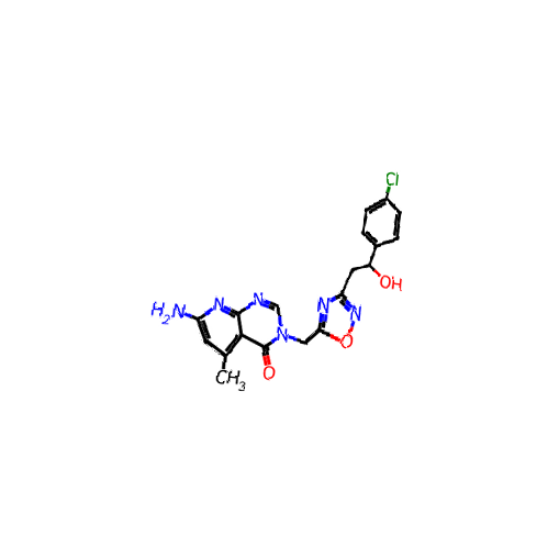 Cc1cc(N)nc2ncn(Cc3nc(CC(O)c4ccc(Cl)cc4)no3)c(=O)c12